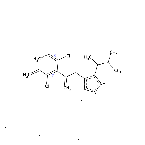 C=C/C(Cl)=C(C(=C)Cc1cn[nH]c1C(C)C(C)C)\C(Cl)=C/C